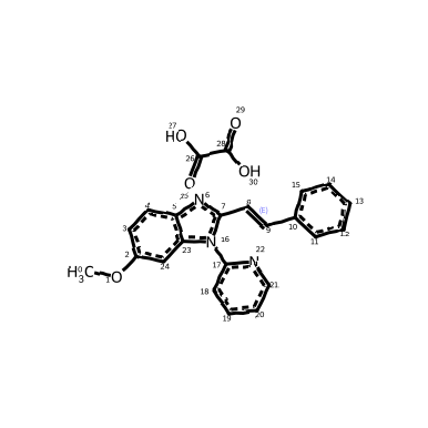 COc1ccc2nc(/C=C/c3ccccc3)n(-c3ccccn3)c2c1.O=C(O)C(=O)O